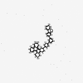 C1=Cc2c(c3ccc(C4=CC=C(c5cccc(-c6ccc7c(c6)oc6ccccc67)c5)CC4)cc3c3c4ccccc4c4ccccc4c23)CC1